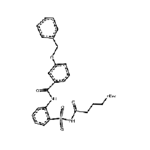 CCCCCCCCCCCCCC(=O)NS(=O)(=O)c1ccccc1NC(=O)c1cccc(OCc2ccccc2)c1